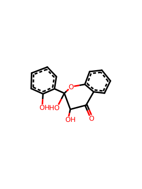 O=C1c2ccccc2OC(O)(c2ccccc2O)C1O